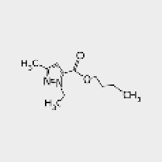 CCCCOC(=O)c1cc(C)nn1CC